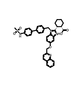 CS(=O)(=O)Nc1ccc(-c2ccc(Cn3c([C@@H]4CCCC[C@@H]4C(=O)O)nc4cc(OCc5ccc6ccccc6n5)ccc43)cc2)cc1